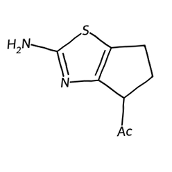 CC(=O)C1CCc2sc(N)nc21